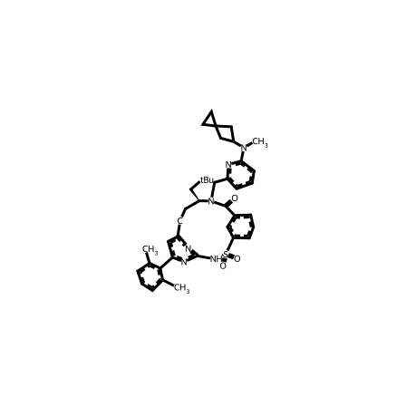 Cc1cccc(C)c1-c1cc2nc(n1)NS(=O)(=O)c1cccc(c1)C(=O)N(Cc1cccc(N(C)C3CC4(CC4)C3)n1)[C@H](CC(C)(C)C)CC2